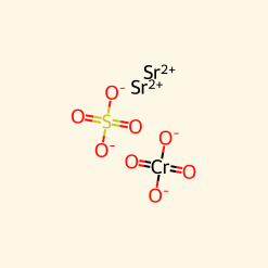 O=S(=O)([O-])[O-].[O]=[Cr](=[O])([O-])[O-].[Sr+2].[Sr+2]